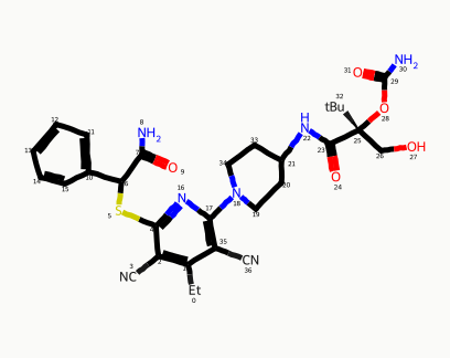 CCc1c(C#N)c(SC(C(N)=O)c2ccccc2)nc(N2CCC(NC(=O)[C@@](CO)(OC(N)=O)C(C)(C)C)CC2)c1C#N